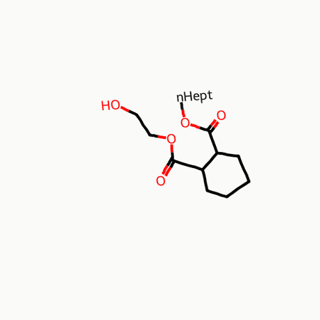 CCCCCCCOC(=O)C1CCCCC1C(=O)OCCO